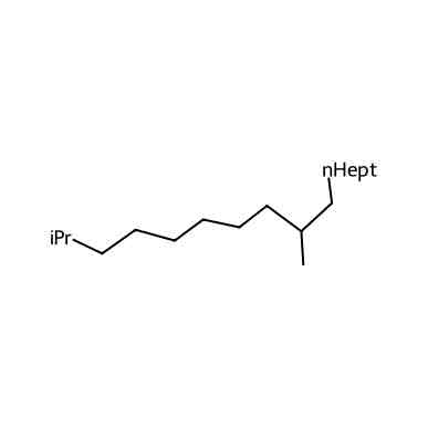 CCCCCCCCC(C)CCCCCCC(C)C